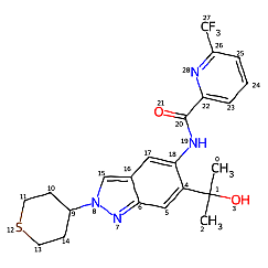 CC(C)(O)c1cc2nn(C3CCSCC3)cc2cc1NC(=O)c1cccc(C(F)(F)F)n1